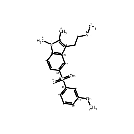 CNCCc1c(C)n(C)c2ccc(S(=O)(=O)c3cccc(OC)c3)cc12